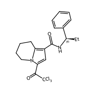 CC[C@@H](NC(=O)c1cc(C(=O)C(Cl)(Cl)Cl)n2c1CCCC2)c1ccccc1